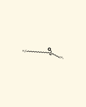 CCCCCCCCCCCCCCCCCCCN1C=CN(CCCCCCC)C1Cc1ccccc1